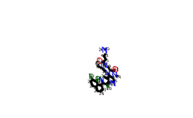 CN(C)CC=CC(=O)N1CC2C(=O)N(C)c3cnc4c(F)c(-c5cccc6ccc(F)c(Cl)c56)ncc4c3N2CC1CC#N